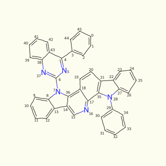 c1ccc(-c2nc(-n3c4ccccc4c4cnc5c(ccc6c7ccccc7n(-c7ccccc7)c65)c43)nc3ccccc23)cc1